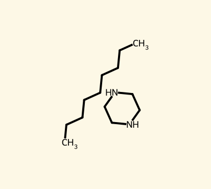 C1CNCCN1.CCCCCCCCC